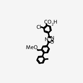 COCc1cc(-c2nc(-c3ccc(C(=O)O)c(Cl)c3)no2)ccc1-c1ccccc1C